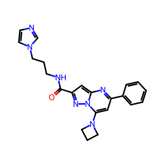 O=C(NCCCn1ccnc1)c1cc2nc(-c3ccccc3)cc(N3CCC3)n2n1